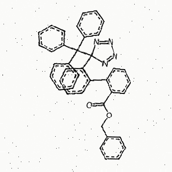 O=C(OCc1ccccc1)c1ccccc1-c1ccccc1C1(C(c2ccccc2)(c2ccccc2)c2ccccc2)N=NN=N1